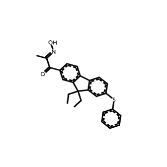 CCC1(CC)c2cc(Sc3ccccc3)ccc2-c2ccc(C(=O)C(C)=NO)cc21